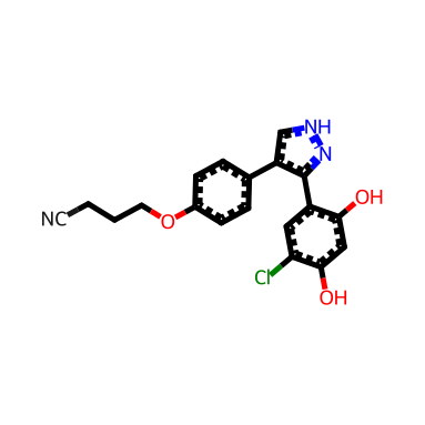 N#CCCCOc1ccc(-c2c[nH]nc2-c2cc(Cl)c(O)cc2O)cc1